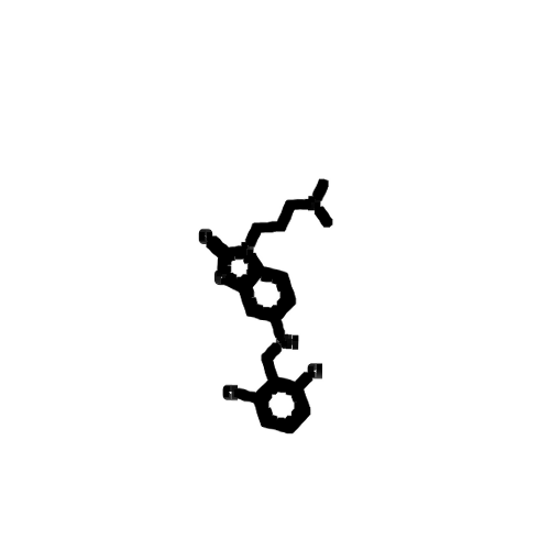 CN(C)CCCn1c(=O)oc2cc(NCc3c(Cl)cccc3Cl)ccc21